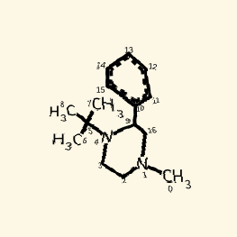 CN1CCN(C(C)(C)C)C(c2ccccc2)C1